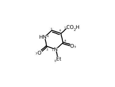 CCn1c(=O)[nH]cc(C(=O)O)c1=O